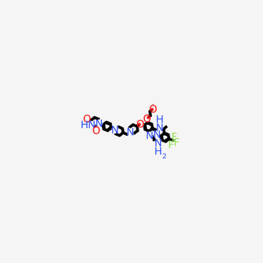 COCCOc1cc2c(NC(C)c3cc(N)cc(C(F)(F)F)c3)nc(C)nc2cc1OC1CCN(CC2CCN(c3ccc(N4CCC(=O)NC4=O)cc3)CC2)CC1